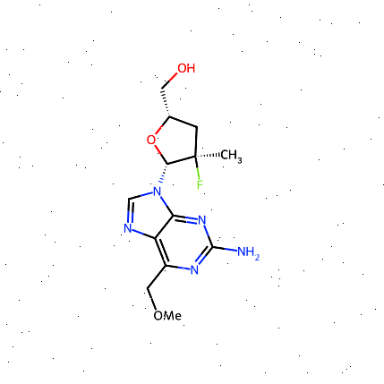 COCc1nc(N)nc2c1ncn2[C@@H]1O[C@H](CO)C[C@@]1(C)F